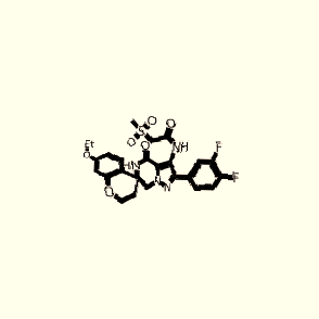 CCOc1ccc2c(c1)OCC[C@@]21Cn2nc(-c3ccc(F)c(F)c3)c(NC(=O)CS(C)(=O)=O)c2C(=O)N1